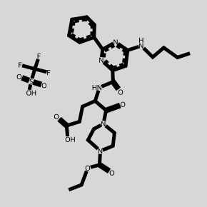 CCCCNc1cc(C(=O)NC(CCC(=O)O)C(=O)N2CCN(C(=O)OCC)CC2)nc(-c2ccccc2)n1.O=S(=O)(O)C(F)(F)F